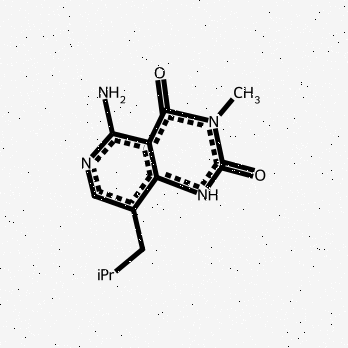 CC(C)Cc1cnc(N)c2c(=O)n(C)c(=O)[nH]c12